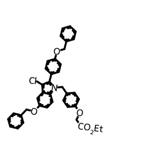 CCOC(=O)COc1ccc(Cn2c(-c3ccc(OCc4ccccc4)cc3)c(Cl)c3cc(OCc4ccccc4)ccc32)cc1